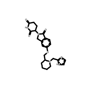 O=C1CCC(N2Cc3cc(OCC4CCCCN4Cc4ncc[nH]4)ccc3C2=O)C(=O)N1